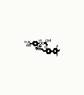 N=C(N)c1ccc(O)c(S(=O)(=O)NCCc2ccc(-c3cc(F)c(F)c(F)c3)cc2OCC(=O)O)c1